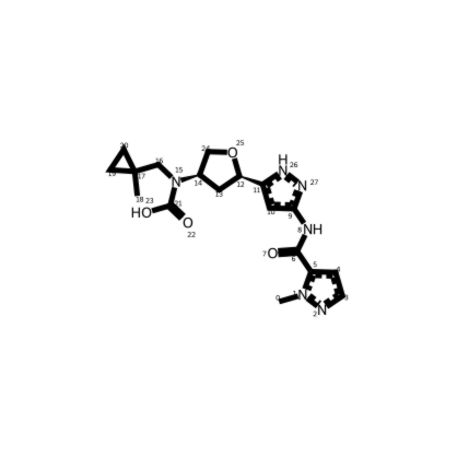 Cn1nccc1C(=O)Nc1cc([C@H]2C[C@@H](N(CC3(C)CC3)C(=O)O)CO2)[nH]n1